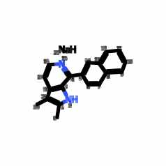 Cc1[nH]c2c(-c3ccc4ccccc4c3)nccc2c1C.[NaH]